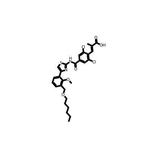 CCCCCCOCc1cccc(-c2csc(NC(=O)c3cc(Cl)c(/C=C(\C)C(=O)O)c(Cl)c3)n2)c1OC